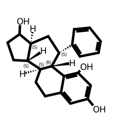 Oc1cc(O)c2c(c1)CC[C@H]1[C@@H]3CCC(O)[C@H]3C[C@H](c3ccccc3)[C@H]21